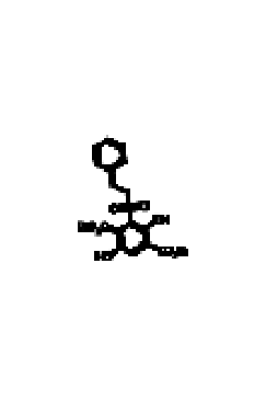 CCOC(=O)c1cc(O)c(C(=O)OCC)c(S(=O)(=O)CCc2ccccc2)c1O